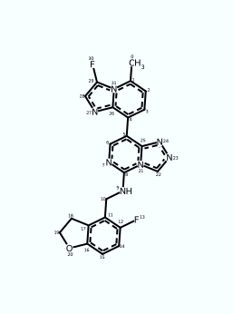 Cc1ccc(-c2cnc(NCc3c(F)ccc4c3CCO4)n3cnnc23)c2ncc(F)n12